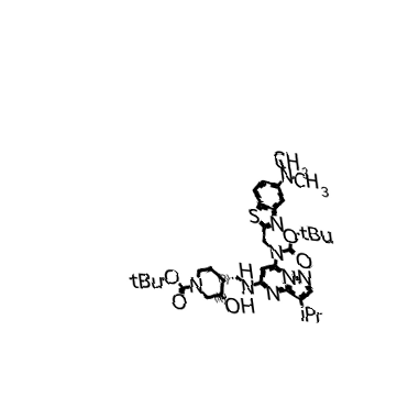 CC(C)c1cnn2c(N(Cc3nc4cc(N(C)C)ccc4s3)C(=O)OC(C)(C)C)cc(NC[C@H]3CCN(C(=O)OC(C)(C)C)C[C@@H]3O)nc12